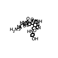 Nc1nc(CC(=O)N[C@@H]2C(=O)N3C(C(=O)O)=C(C(=C4CCNC4=O)C(CC(=O)Nc4ccc(O)cc4)c4ccncc4)CS[C@H]23)cs1